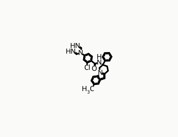 Cc1ccc2c(c1)cc1n2C[C@@](NC(=O)c2ccc(N(C=N)C=N)cc2Cl)(c2ccccc2)CC1